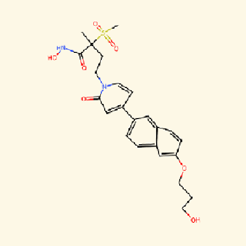 CC(CCn1ccc(-c2ccc3cc(OCCCO)ccc3c2)cc1=O)(C(=O)NO)S(C)(=O)=O